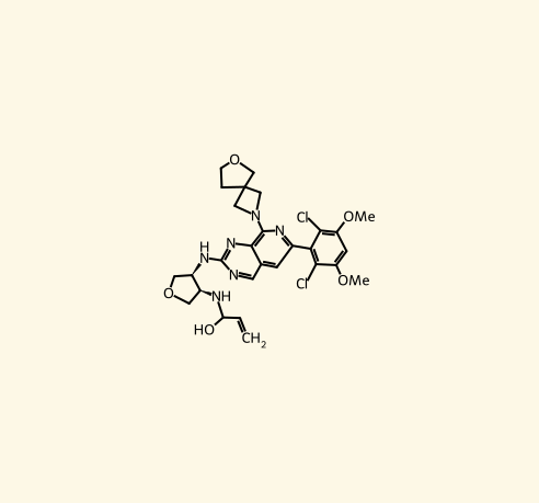 C=CC(O)N[C@H]1COC[C@H]1Nc1ncc2cc(-c3c(Cl)c(OC)cc(OC)c3Cl)nc(N3CC4(CCOC4)C3)c2n1